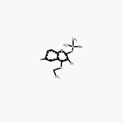 CCc1c(O[Si](C)(C)C(C)(C)C)nc2ccc(F)cc2c1OCC(F)(F)F